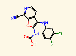 N#Cc1nccc2c(Nc3ccc(F)c(Cl)c3)c(NC(=O)O)oc12